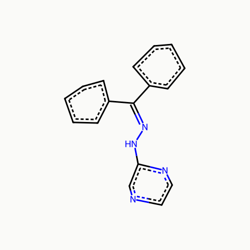 c1ccc(C(=NNc2cnccn2)c2ccccc2)cc1